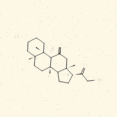 C[C@]12CC[C@@H](O)C[C@H]1[C@@H](Br)C[C@H]1[C@@H]3CC[C@H](C(=O)CO)[C@@]3(C)CC(=O)[C@@H]12